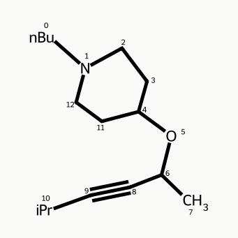 CCCCN1CCC(OC(C)C#CC(C)C)CC1